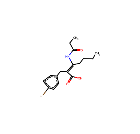 CCCC/C(NC(=O)CC)=C(/Cc1ccc(Br)cc1)C(=O)O